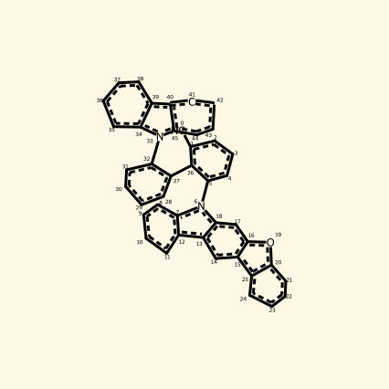 N#Cc1cccc(-n2c3ccccc3c3cc4c(cc32)oc2ccccc24)c1-c1ccccc1-n1c2ccccc2c2ccccc21